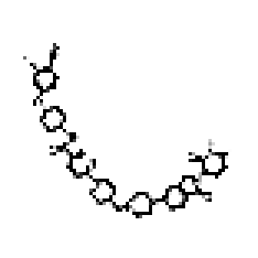 N#Cc1ccc(O[C@H]2CC[C@H](NC(=O)c3ccc(N4CCC(CN5CCC(c6ccc7c(c6)CN(C6CCC(=O)NC6=O)C7=O)CC5)CC4)nn3)CC2)cc1Cl